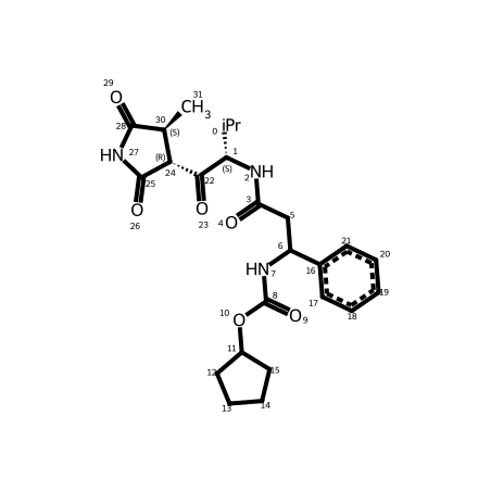 CC(C)[C@H](NC(=O)CC(NC(=O)OC1CCCC1)c1ccccc1)C(=O)[C@@H]1C(=O)NC(=O)[C@H]1C